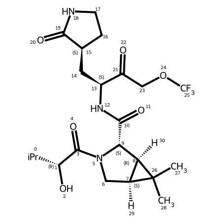 CC(C)[C@@H](O)C(=O)N1C[C@H]2[C@@H]([C@H]1C(=O)N[C@@H](C[C@@H]1CCNC1=O)C(=O)COC(F)(F)F)C2(C)C